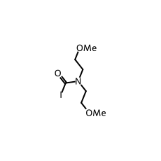 COCCN(CCOC)C(=O)I